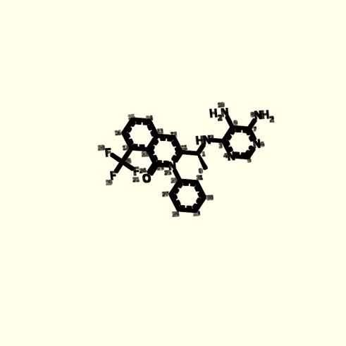 C[C@H](Nc1ncnc(N)c1N)c1cc2cccc(C(F)(F)F)c2c(=O)n1-c1ccccc1